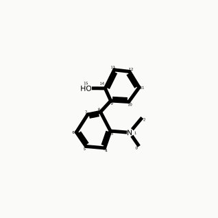 CN(C)c1ccccc1-c1ccccc1O